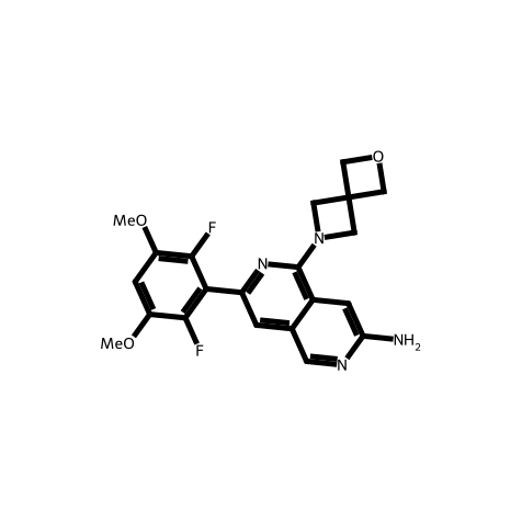 COc1cc(OC)c(F)c(-c2cc3cnc(N)cc3c(N3CC4(COC4)C3)n2)c1F